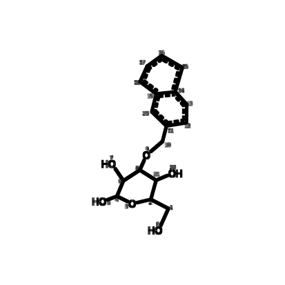 OCC1OC(O)C(O)C(OCc2ccc3ccccc3c2)C1O